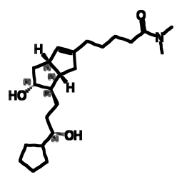 CN(C)C(=O)CCCCC1=C[C@H]2C[C@@H](O)[C@H](CC[C@H](O)C3CCCC3)[C@H]2C1